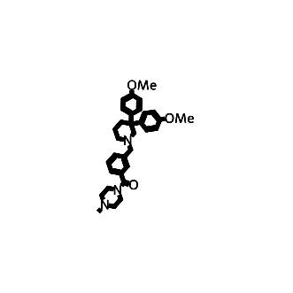 COc1ccc(C2(c3ccc(OC)cc3)CCCN(Cc3cccc(C(=O)N4CCN(C)CC4)c3)C2)cc1